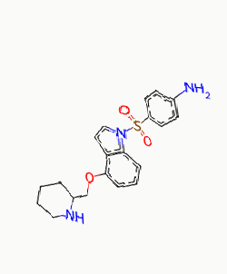 Nc1ccc(S(=O)(=O)n2ccc3c(OCC4CCCCN4)cccc32)cc1